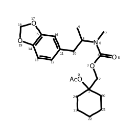 CC(=O)OC1(COC(=O)N(C)C(C)Cc2ccc3c(c2)OCO3)CCCCC1